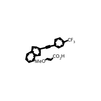 COC=CC(=O)O.FC(F)(F)c1ccc(C#Cc2ccc3ccccc3c2)cc1